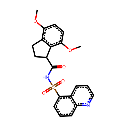 COc1ccc(OC)c2c1CCC2C(=O)NS(=O)(=O)c1cccc2ncccc12